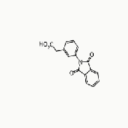 O=C(O)Cc1cccc(N2C(=O)c3ccccc3C2=O)c1